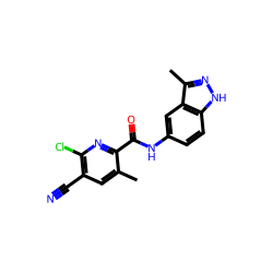 Cc1cc(C#N)c(Cl)nc1C(=O)Nc1ccc2[nH]nc(C)c2c1